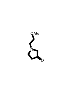 COCCN1CCC(=O)C1